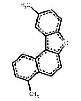 Cc1ccc2oc3ccc4c(C)cccc4c3c2c1